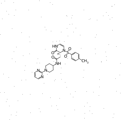 Cc1ccc(S(=O)(=O)N2C=CNC(=O)[C@H]2CC(=O)NC2CCN(c3ncccn3)CC2)cc1